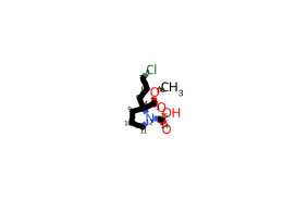 COC(=O)C1(CCCCl)CCCN1C(=O)O